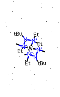 CC[N+]1(C)N(C(C)(C)C)[N+](C)(CC)[W]12[N+](C)(CC)N(C(C)(C)C)[N+]2(C)CC